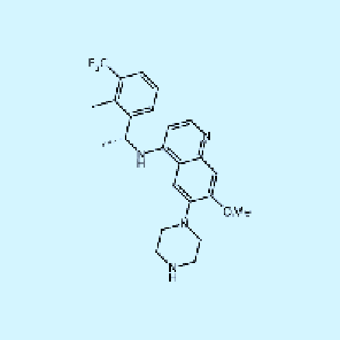 COc1cc2nccc(N[C@H](C)c3cccc(C(F)(F)F)c3C)c2cc1N1CCNCC1